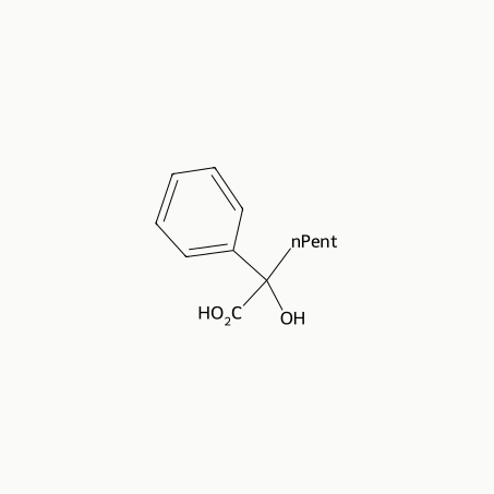 CCCCCC(O)(C(=O)O)c1ccccc1